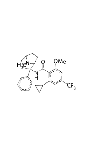 COc1cc(C(F)(F)F)cc(C2CC2)c1C(=O)NC1(c2ccccc2)CCC2CCC1N2C